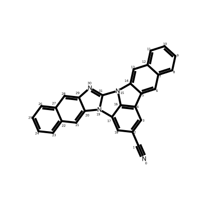 N#Cc1cc2c3cc4ccccc4cc3n3c2c(c1)n1c2cc4ccccc4cc2nc13